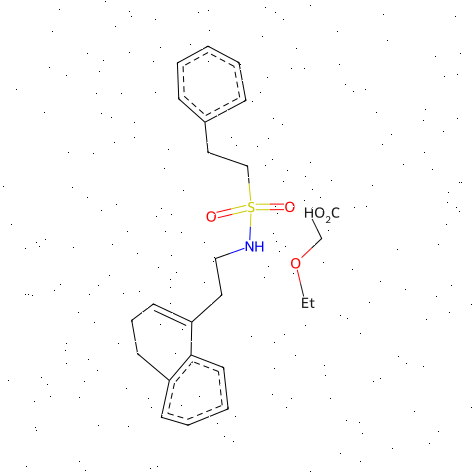 CCOCC(=O)O.O=S(=O)(CCc1ccccc1)NCCC1=CCCc2ccccc21